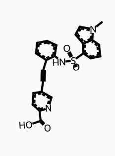 Cn1ccc2c(S(=O)(=O)Nc3ccccc3C#Cc3ccc(C(=O)O)nc3)cccc21